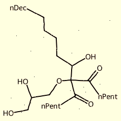 CCCCCCCCCCCCCCC(O)C(OCC(O)CO)(C(=O)CCCCC)C(=O)CCCCC